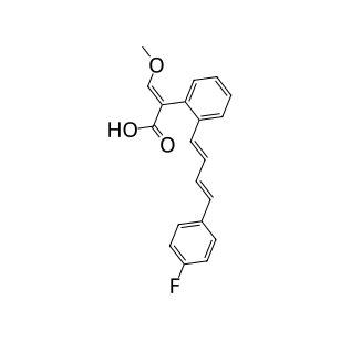 CO/C=C(/C(=O)O)c1ccccc1/C=C/C=C/c1ccc(F)cc1